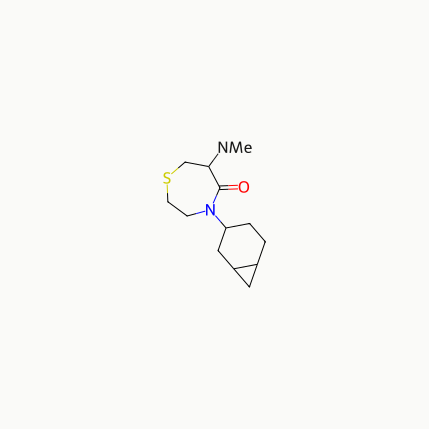 CNC1CSCCN(C2CCC3CC3C2)C1=O